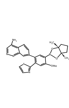 COc1cc(-c2nccs2)c(-c2ccc3c(N)cnnc3c2)cc1B1O[C@]2(C)CCC[C@]2(C)O1